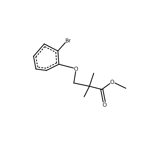 COC(=O)C(C)(C)COc1ccccc1Br